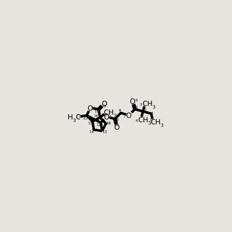 CCC(C)(C)C(=O)OCC(=O)OC1C2CC3C(C)(C2)C(=O)OC13C